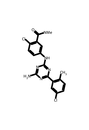 CNC(=O)c1cc(Nc2nc(N)nc(-c3cc(Cl)ccc3C)n2)ccc1Cl